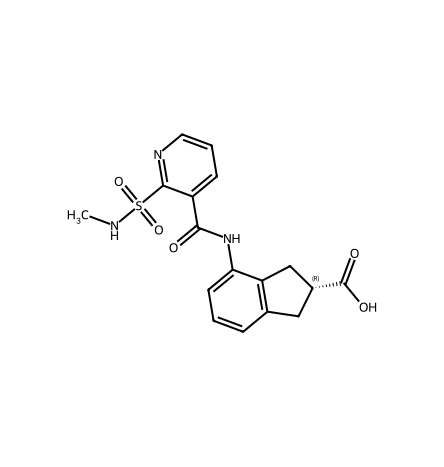 CNS(=O)(=O)c1ncccc1C(=O)Nc1cccc2c1C[C@H](C(=O)O)C2